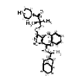 CC(NC(=O)c1onc(OCC(C)(C)C(=O)N2CCNCC2)c1Sc1ccccc1)C1CC2CCCC(C2)C1